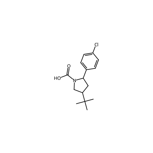 CC(C)(C)C1CC(c2ccc(Cl)cc2)N(C(=O)O)C1